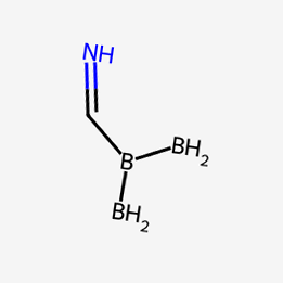 BB(B)C=N